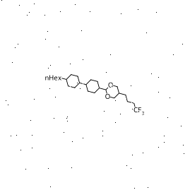 CCCCCCC1CCC(C2CCC(C3OCC(CCCC(F)(F)F)CO3)CC2)CC1